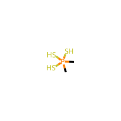 CP(C)(S)(S)S